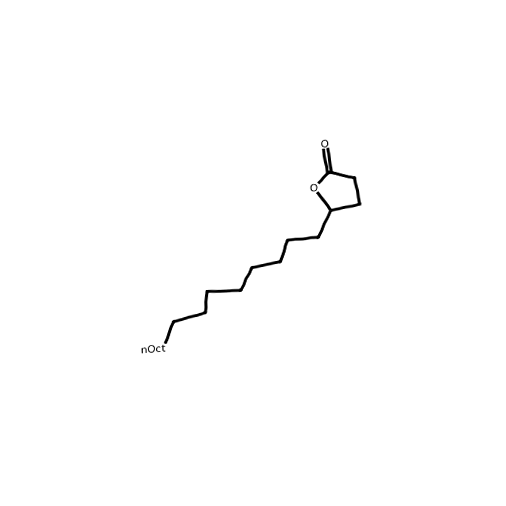 CCCCCCCCCCCCCCCCC1CCC(=O)O1